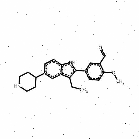 CCc1c(-c2ccc(OC)c(C=O)c2)[nH]c2ccc(C3CCNCC3)cc12